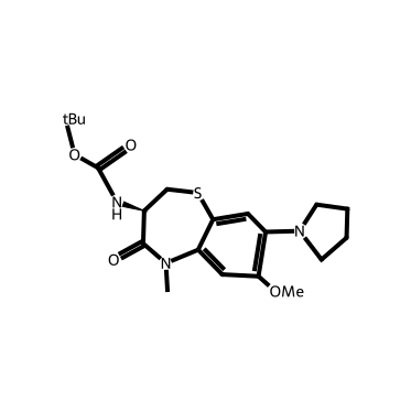 COc1cc2c(cc1N1CCCC1)SC[C@H](NC(=O)OC(C)(C)C)C(=O)N2C